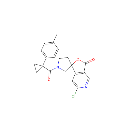 Cc1ccc(C2(C(=O)N3CCC4(C3)OC(=O)c3cnc(Cl)cc34)CC2)cc1